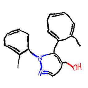 Cc1ccccc1-c1c(O)cnn1-c1ccccc1C